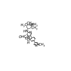 Cn1cc(-c2ccc(-c3cnc(NC4CC(C)(C)NC(C)(C)C4)cn3)c(O)c2)cn1.O=CO